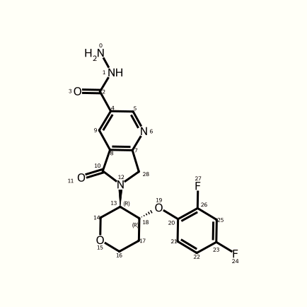 NNC(=O)c1cnc2c(c1)C(=O)N([C@@H]1COCC[C@H]1Oc1ccc(F)cc1F)C2